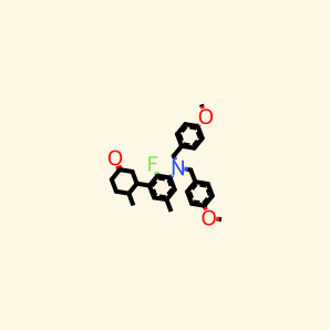 COc1ccc(CN(Cc2ccc(OC)cc2)c2cc(C)cc(C3CC(=O)CCC3C)c2F)cc1